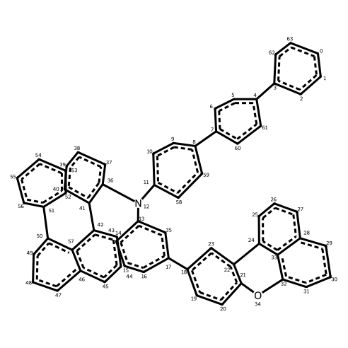 c1ccc(-c2ccc(-c3ccc(N(c4cccc(-c5ccc6c(c5)-c5cccc7cccc(c57)O6)c4)c4ccccc4-c4cccc5cccc(-c6ccccc6)c45)cc3)cc2)cc1